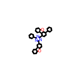 C1=CC2Oc3c(-c4ccccc4)ccc(-c4nc(-c5ccccc5)nc(-c5ccc6oc7ccccc7c6c5)n4)c3C2C=C1